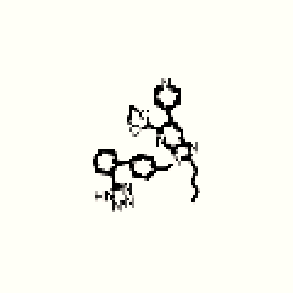 CCCCc1nc2cc(-c3ccncc3)c(C3OCCO3)nc2n1Cc1ccc(-c2ccccc2-c2nnn[nH]2)cc1